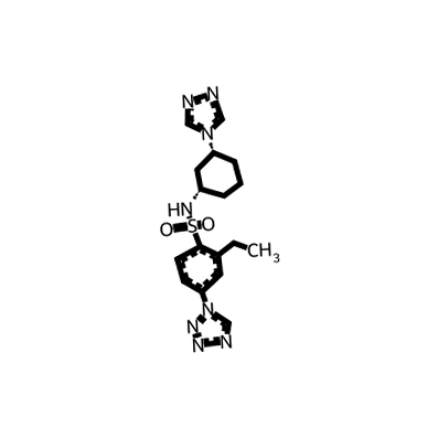 CCc1cc(-n2cnnn2)ccc1S(=O)(=O)N[C@H]1CCC[C@@H](n2cnnc2)C1